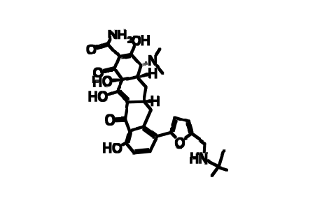 CN(C)[C@H]1C(O)=C(C(N)=O)C(=O)[C@@]2(O)C(O)=C3C(=O)c4c(O)ccc(-c5ccc(CNC(C)(C)C)o5)c4C[C@H]3C[C@@H]12